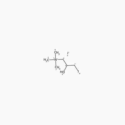 C[N+](C)(C)CC(O)CI.[I-]